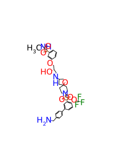 CNS(=O)(=O)c1cccc(OC[C@@H](O)CN[C@H]2COC3(CCN(S(=O)(=O)c4cc(-c5ccc(CN)cc5)ccc4OC(F)(F)F)CC3)C2)c1